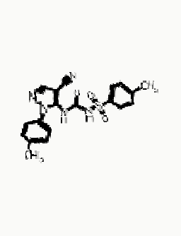 Cc1ccc(-n2ncc(C#N)c2NC(=O)NS(=O)(=O)c2ccc(C)cc2)cc1